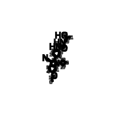 CCOc1ccc2c(C#N)c(-c3ccc(NC(=O)NCC(C)O)cc3)n(C3CCC3)c2c1